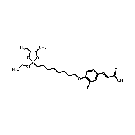 CCO[Si](CCCCCCCCOc1ccc(C=CC(=O)O)cc1F)(OCC)OCC